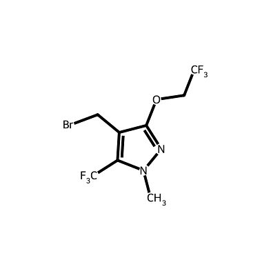 Cn1nc(OCC(F)(F)F)c(CBr)c1C(F)(F)F